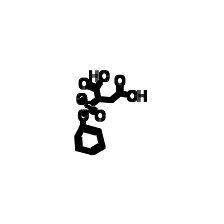 O=C(O)CC(C(=O)O)S(=O)(=O)Oc1ccccc1